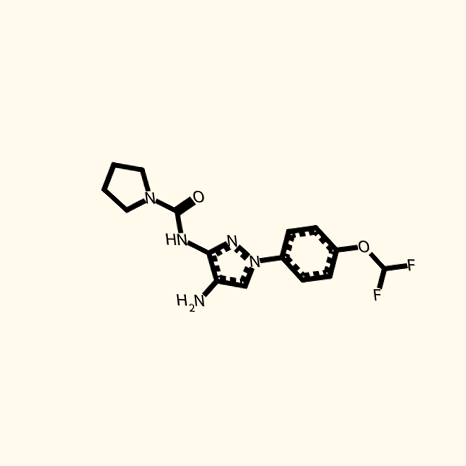 Nc1cn(-c2ccc(OC(F)F)cc2)nc1NC(=O)N1CCCC1